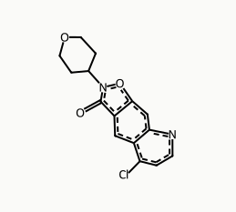 O=c1c2cc3c(Cl)ccnc3cc2on1C1CCOCC1